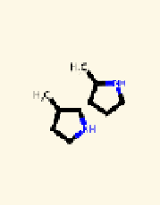 CC1CCCN1.CC1CCNC1